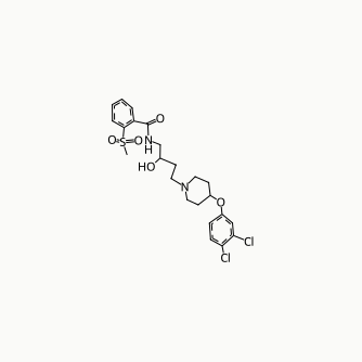 CS(=O)(=O)c1ccccc1C(=O)NCC(O)CCN1CCC(Oc2ccc(Cl)c(Cl)c2)CC1